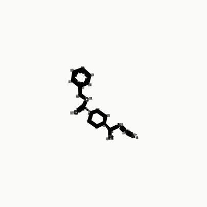 CCC(N=[N+]=[N-])[C@H]1CC[C@H](C(=O)OCc2ccccc2)CC1